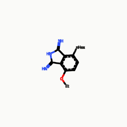 CCCCCCc1ccc(OCC)c2c1C(=N)NC2=N